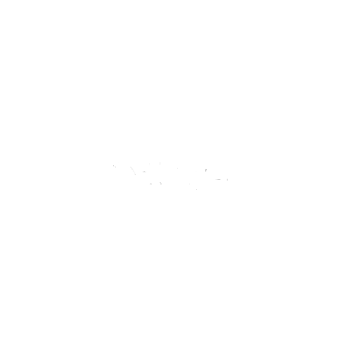 CCCC[C@H]1CC[C@H](COC2CCC(C=C(F)C#N)CC2)CC1